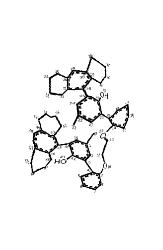 Cc1cc(-c2ccccc2OCCOc2ccccc2-c2cc(C)cc(-c3c4c(cc5c3CCCC5)CCCC4)c2O)c(O)c(-c2c3c(cc4c2CCCC4)CCCC3)c1